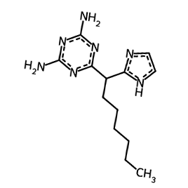 CCCCCCC(c1nc(N)nc(N)n1)c1ncc[nH]1